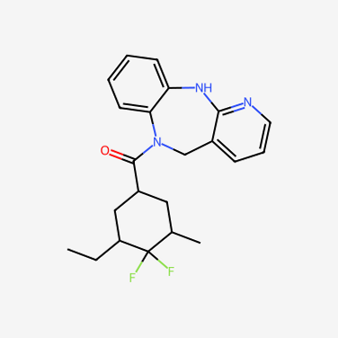 CCC1CC(C(=O)N2Cc3cccnc3Nc3ccccc32)CC(C)C1(F)F